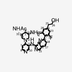 CC(=O)N[C@@H]1[C@H](N)CN(c2ccncc2Nc2ncc3ccc(-c4c(F)cc(CCO)cc4F)nn23)C[C@@H]1C